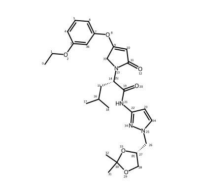 CCOc1cccc(OC2=CC(=O)N([C@@H](CC(C)C)C(=O)Nc3ccn(C[C@@H]4COC(C)(C)O4)n3)C2)c1